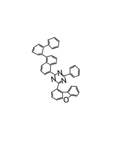 c1ccc(-c2nc(-c3cccc4c(-c5ccccc5-c5ccccc5)cccc34)nc(-c3cccc4oc5ccccc5c34)n2)cc1